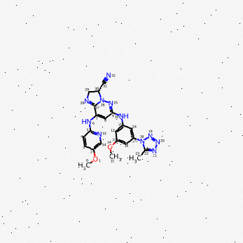 COc1ccc(NC2=CC(Nc3cc(OC)cc(-n4nnnc4C)c3)=NN3C2=NCC3C#N)nc1